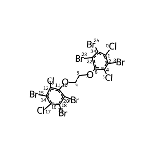 Clc1c(Br)c(Cl)c(OCCOc2c(Cl)c(Br)c(Cl)c(Br)c2Br)c(Br)c1Br